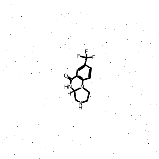 O=C1N[C@H]2CNCCN2c2ccc(C(F)(F)F)cc21